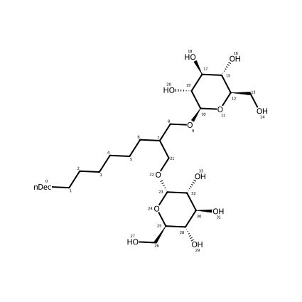 CCCCCCCCCCCCCCCCC(CO[C@@H]1O[C@H](CO)[C@@H](O)[C@H](O)[C@H]1O)CO[C@H]1O[C@H](CO)[C@@H](O)[C@H](O)[C@H]1O